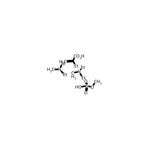 C=C(CC)C(=O)O.CCN(C)CC.CCN(C)CC.COS(=O)(=O)O